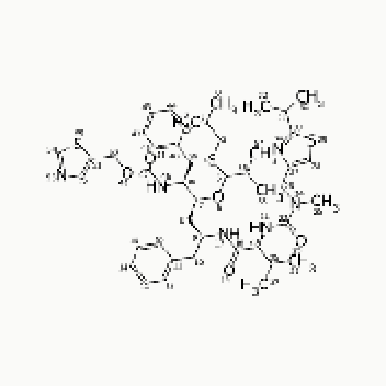 CC(C)CSC(O[C@@H](C[C@H](Cc1ccccc1)NC(=O)[C@@H](NC(=O)N(C)Cc1csc(C(C)C)n1)C(C)C)[C@H](Cc1ccccc1)NC(=O)OCc1cncs1)C(C)C